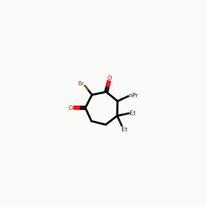 CCCC1C(=O)C(Br)C(=O)CCC1(CC)CC